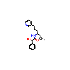 CCC(CCCc1cccnc1)NC(=O)C(O)c1ccccc1